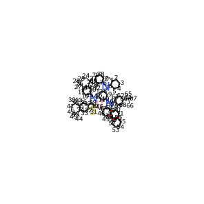 Cc1ccccc1N(c1cc2c3c(c1)N(c1ccc4c(c1)C(C)(C)CCC4(C)C)c1c(sc4cc5c(cc14)C(C)(C)CCC5(C)C)B3c1ccc(-c3ccccc3)cc1N2c1ccc(C(C)(C)C)cc1-c1ccccc1)c1ccccc1C